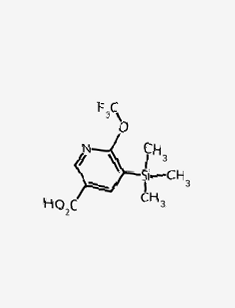 C[Si](C)(C)c1cc(C(=O)O)cnc1OC(F)(F)F